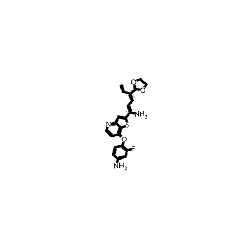 C=C/C(=C\C=C(/N)c1cc2nccc(Oc3ccc(N)cc3F)c2s1)C1OCCO1